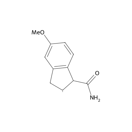 COc1ccc2c(c1)C[CH]C2C(N)=O